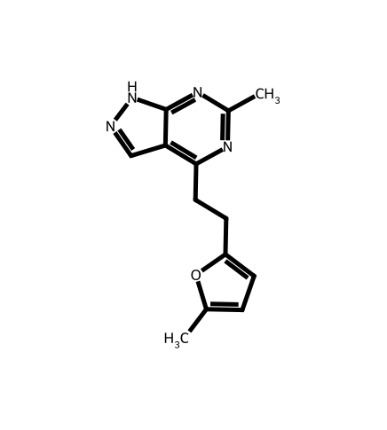 Cc1nc(CCc2ccc(C)o2)c2cn[nH]c2n1